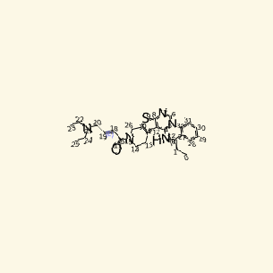 CC[C@@H](Nc1ncnc2sc3c(c12)CCN(C(=O)/C=C/CN(CC)CC)C3)c1ccccc1